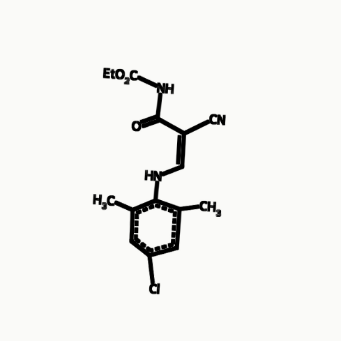 CCOC(=O)NC(=O)/C(C#N)=C\Nc1c(C)cc(Cl)cc1C